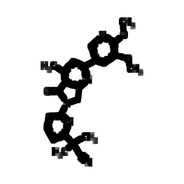 COc1cc(-c2cc(C)c3c(n2)CN(c2cccc(C(C)(C)C#N)n2)C3=O)cnc1OC